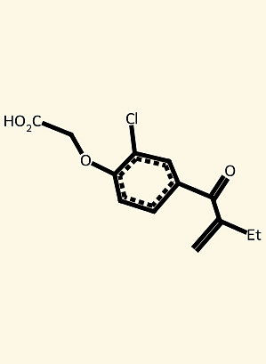 C=C(CC)C(=O)c1ccc(OCC(=O)O)c(Cl)c1